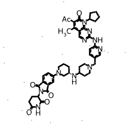 CC(=O)c1c(C)c2cnc(Nc3ccc(CN4CCC(N[C@H]5CCCN(c6ccc7c(c6)C(=O)N(C6CCC(=O)NC6=O)C7=O)C5)CC4)cn3)nc2n(C2CCCC2)c1=O